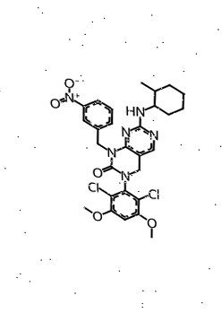 COc1cc(OC)c(Cl)c(N2Cc3cnc(NC4CCCCC4C)nc3N(Cc3cccc([N+](=O)[O-])c3)C2=O)c1Cl